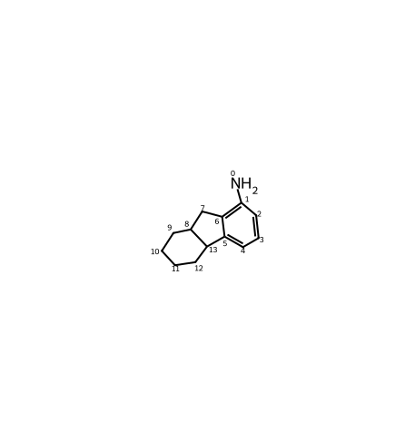 Nc1cccc2c1CC1CCCCC21